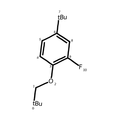 CC(C)(C)COc1ccc(C(C)(C)C)cc1F